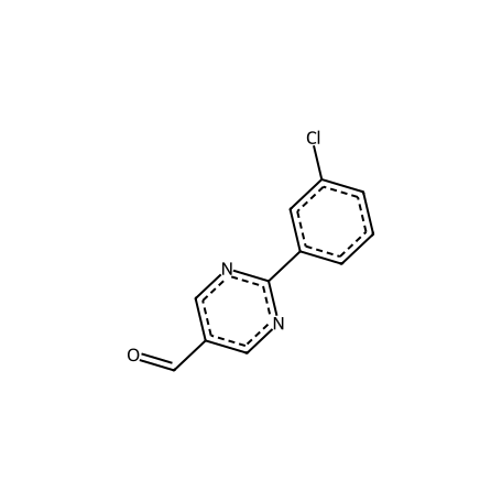 O=Cc1cnc(-c2cccc(Cl)c2)nc1